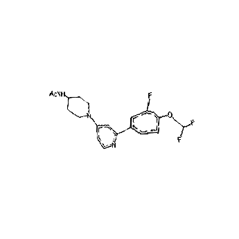 CC(=O)NC1CCN(c2ccnc(-c3ccc(OC(F)F)c(F)c3)c2)CC1